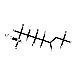 O=S(=O)([O-])C(F)(F)C(F)(F)C(F)(F)C(F)(F)C(F)CC(F)(F)F.[Li+]